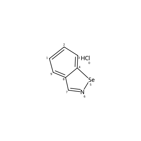 Cl.c1ccc2[se]ncc2c1